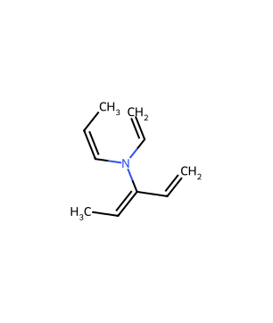 C=C/C(=C/C)N(C=C)/C=C\C